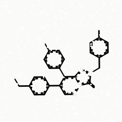 O=c1n(Cc2ccc(C(F)(F)F)cc2)nc2c(-c3ccc(Cl)cc3)c(-c3ccc(CI)cc3)cnn12